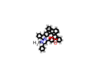 CC1CC(c2ccccc2C2=NC(c3ccc4c(c3)oc3ccccc34)=CC(c3ccccc3)N2C)=CC2=C1C1(c3ccccc3O2)c2ccccc2C2C=CC=CC21